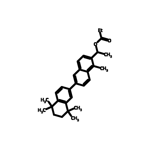 CCC(=O)OC(C)c1ccc2cc(-c3ccc4c(c3)C(C)(C)CCC4(C)C)ccc2c1C